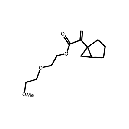 C=C(C(=O)OCCOCCOC)C12CCCC1C2